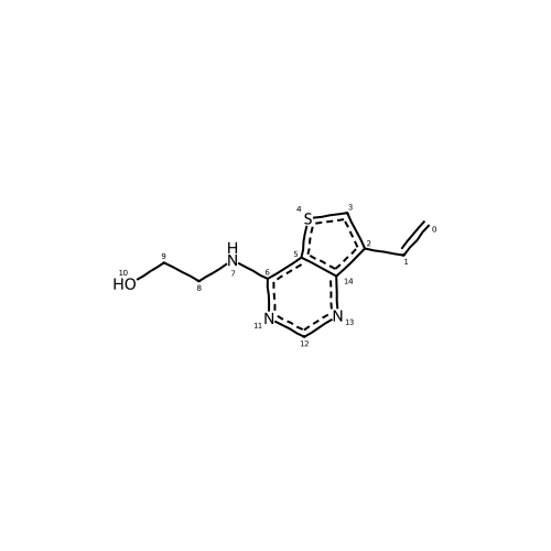 C=Cc1csc2c(NCCO)ncnc12